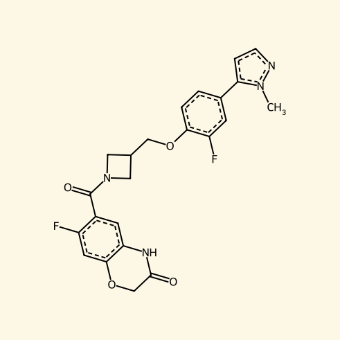 Cn1nccc1-c1ccc(OCC2CN(C(=O)c3cc4c(cc3F)OCC(=O)N4)C2)c(F)c1